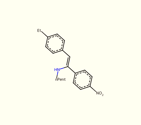 CCCCCNC(=Cc1ccc(CC)cc1)c1ccc([N+](=O)[O-])cc1